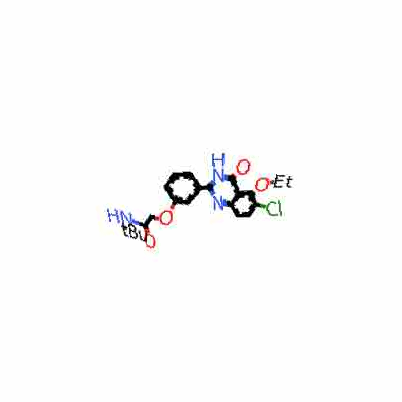 CCOc1c(Cl)ccc2nc(-c3cccc(OCC(=O)NC(C)(C)C)c3)[nH]c(=O)c12